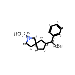 CC(C)(C)C(c1ccccc1)C1CCC2(CCN(C(=O)O)C2)C1